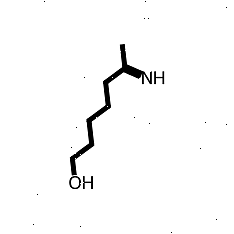 CC(=N)CCCCCO